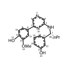 CCC[C@@H](Nc1cncc(-c2ccc(O)c(OC)c2)n1)c1cccc(O)c1